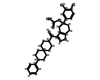 O=C(O)O[N+]1(c2ccc(Cl)c(Cl)c2)CCc2onc(C(=O)N3CCC4(CC3)CCN(c3ccncc3)CC4)c2C1